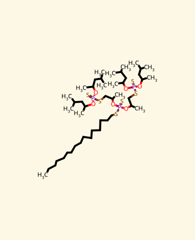 CCCCCCCCCCCCCCCCSP(=S)(OC(C)CSP(=S)(OC(C)CC(C)C)OC(C)CC(C)C)OC(C)CSP(=S)(OC(C)CC(C)C)OC(C)CC(C)C